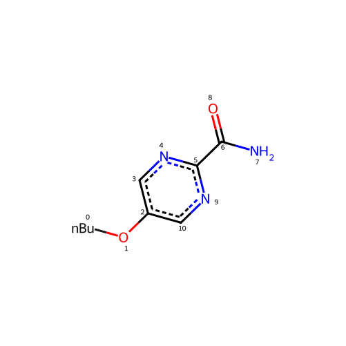 CCCCOc1cnc(C(N)=O)nc1